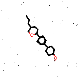 CCCC1CCC(c2ccc(C3CCC(OC)CC3)cc2)OC1